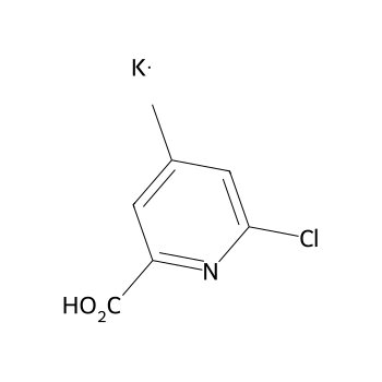 Cc1cc(Cl)nc(C(=O)O)c1.[K]